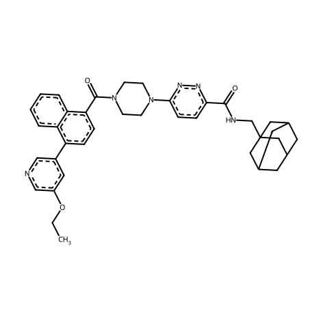 CCOc1cncc(-c2ccc(C(=O)N3CCN(c4ccc(C(=O)NCC56CC7CC(CC(C7)C5)C6)nn4)CC3)c3ccccc23)c1